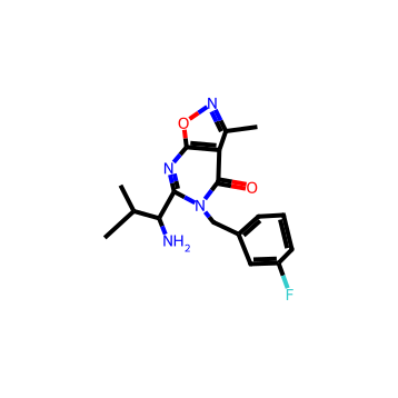 Cc1noc2nc(C(N)C(C)C)n(Cc3cccc(F)c3)c(=O)c12